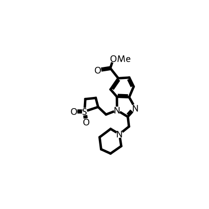 COC(=O)c1ccc2nc(CN3CCCCC3)n(CC3CCS3(=O)=O)c2c1